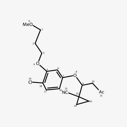 COCCCOc1cc(OC(CC(C)=O)C2(C#N)CC2)ccc1Cl